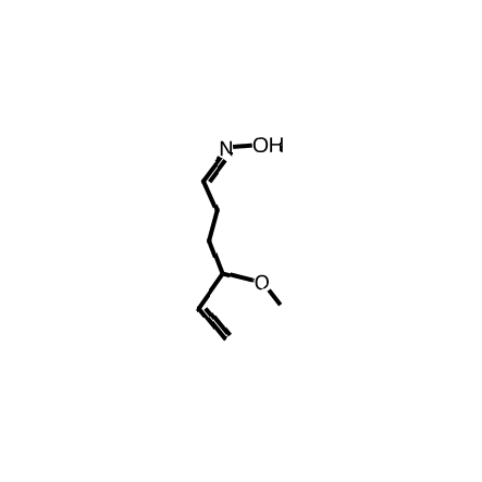 C=CC(CC/C=N\O)OC